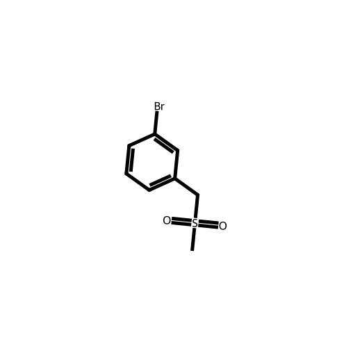 CS(=O)(=O)Cc1cccc(Br)c1